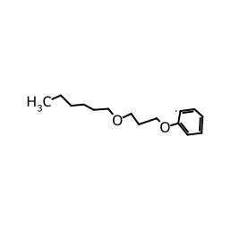 CCCCCCOCCCOc1[c]cccc1